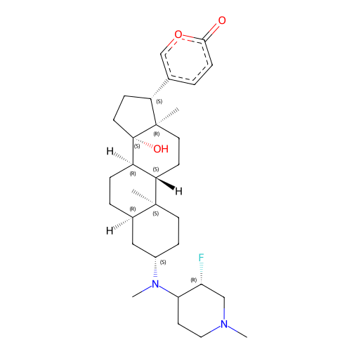 CN1CCC(N(C)[C@H]2CC[C@@]3(C)[C@H](CC[C@@H]4[C@@H]3CC[C@]3(C)[C@@H](c5ccc(=O)oc5)CC[C@]43O)C2)[C@H](F)C1